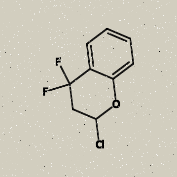 FC1(F)CC(Cl)Oc2ccccc21